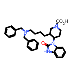 O=C(O)N1CCC(n2c(=O)[nH]c3ccccc32)C(CCCCN(Cc2ccccc2)Cc2ccccc2)C1